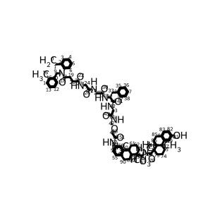 C=Cc1ccccc1N(Cc1ccccc1C)C(=O)CCC(=O)NCC(=O)NCC(=O)N[C@@H](Cc1ccccc1)C(=O)NCC(=O)NCOCC(=O)Nc1ccc2c(c1)[C@@]1(C)CCC[C@](C)(C(=O)NC(=O)[C@@]3(C)CCC[C@]4(C)c5cc(O)ccc5CC[C@@H]34)[C@@H]1CC2